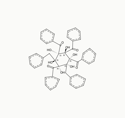 O=C(c1ccccc1)[C@]1(O)[C@](O)(Cc2ccccc2)[C@](O)(C(=O)c2ccccc2)[C@@](O)(C(=O)c2ccccc2)[C@](O)(C(=O)c2ccccc2)[C@@]1(O)Cc1ccccc1